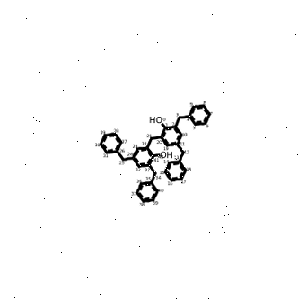 Oc1c(Cc2ccccc2)cc(Cc2ccccc2)cc1Cc1cc(Cc2ccccc2)cc(Cc2ccccc2)c1O